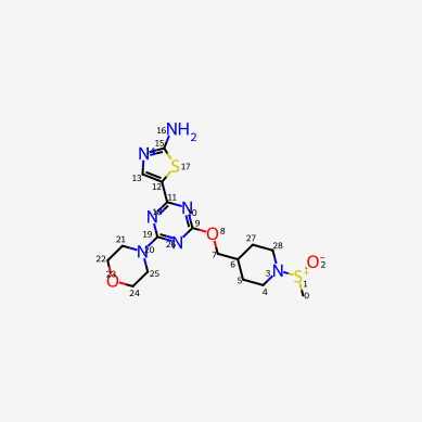 C[S+]([O-])N1CCC(COc2nc(-c3cnc(N)s3)nc(N3CCOCC3)n2)CC1